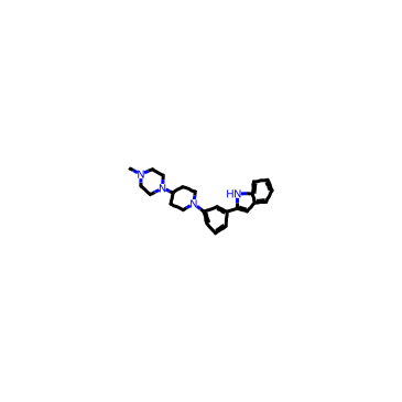 CN1CCN(C2CCN(c3cccc(-c4cc5ccccc5[nH]4)c3)CC2)CC1